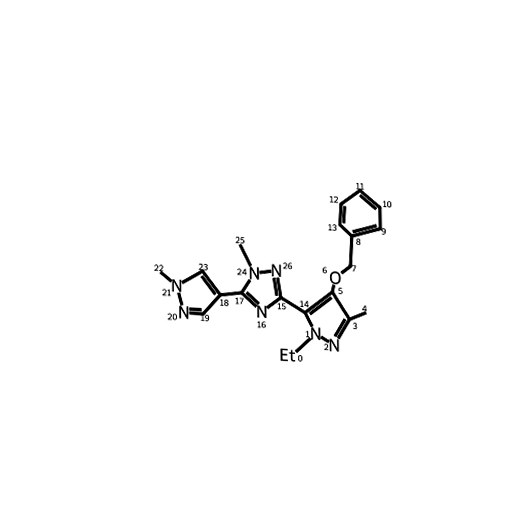 CCn1nc(C)c(OCc2ccccc2)c1-c1nc(-c2cnn(C)c2)n(C)n1